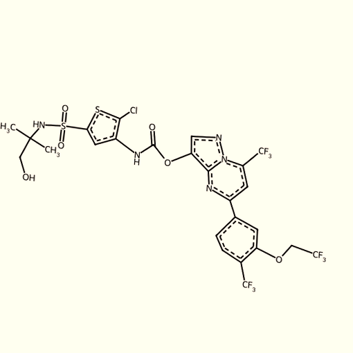 CC(C)(CO)NS(=O)(=O)c1cc(NC(=O)Oc2cnn3c(C(F)(F)F)cc(-c4ccc(C(F)(F)F)c(OCC(F)(F)F)c4)nc23)c(Cl)s1